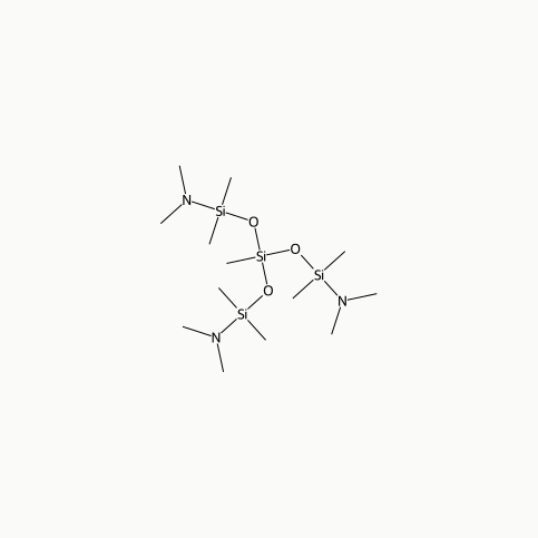 CN(C)[Si](C)(C)O[Si](C)(O[Si](C)(C)N(C)C)O[Si](C)(C)N(C)C